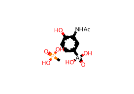 CC(=O)Nc1cc([As](=O)(O)O)ccc1O.CP(=O)(O)O